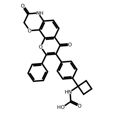 O=C(O)NC1(c2ccc(-c3c(-c4ccccc4)oc4c5c(ccc4c3=O)NC(=O)CO5)cc2)CCC1